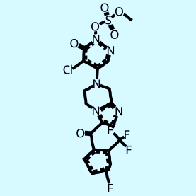 COS(=O)(=O)On1ncc(N2CCn3c(C(=O)c4ccc(F)cc4C(F)(F)F)cnc3C2)c(Cl)c1=O